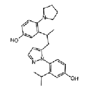 CC(C)c1cc(O)ccc1-n1nccc1CC(C)c1cc(O)ccc1N1CCCC1